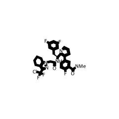 CNC(=O)c1cc(-c2cccnc2[C@H](Cc2cc(F)cc(F)c2)NC(=O)Cn2nc(C(F)(F)Cl)c3c2CCCC3)ccc1F